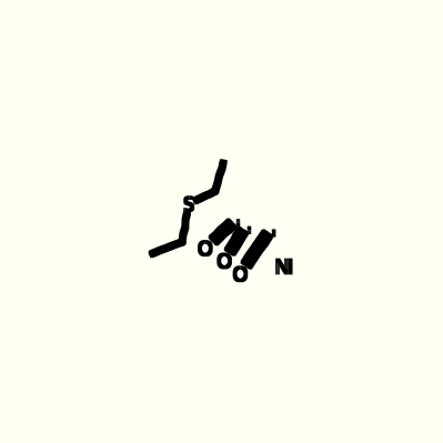 CCSCC.[C]=O.[C]=O.[C]=O.[Ni]